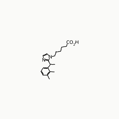 Cc1cccc(C(C)c2nccn2CCCCCC(=O)O)c1C